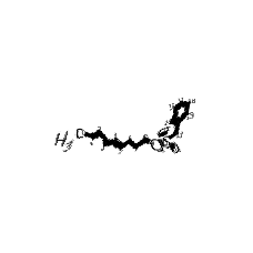 CCCCCCCCCOS(=O)(=O)Cc1ccccc1